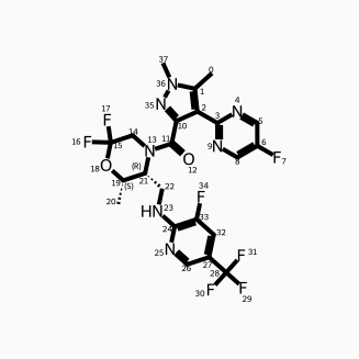 Cc1c(-c2ncc(F)cn2)c(C(=O)N2CC(F)(F)O[C@@H](C)[C@H]2CNc2ncc(C(F)(F)F)cc2F)nn1C